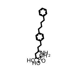 N[C@H](CCc1ccc(CCCCc2ccccc2)cc1)CC(O)P(=O)(O)O